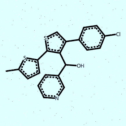 Cc1ccc(-c2scc(-c3ccc(Cl)cc3)c2C(O)c2cccnc2)s1